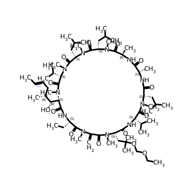 C=C1C(=O)N(C)[C@@H](CC(C)(C)OCOCC)C(=O)N[C@@H](C(C)C)C(=O)N(C)[C@@H](CC(C)C)C(=O)N[C@@H](C)C(=O)N[C@H](C)C(=O)N(C)[C@@H](CC(C)C)C(=O)N(C)[C@@H](CC(C)C)C(=O)N(C)[C@@H](C(C)C)C(=O)N(C)[C@@H]([C@H](O)[C@H](C)C/C=C/C)C(=O)N[C@@H](CC)C(=O)N1C